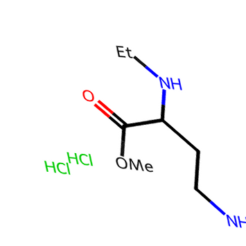 CCNC(CCN)C(=O)OC.Cl.Cl